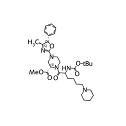 COC(=O)[C@@H]1CN(C2=N[C@@H](C)[C@H](c3ccccc3)O2)CCN1C(=O)C(CCCCN1CCCCC1)NC(=O)OC(C)(C)C